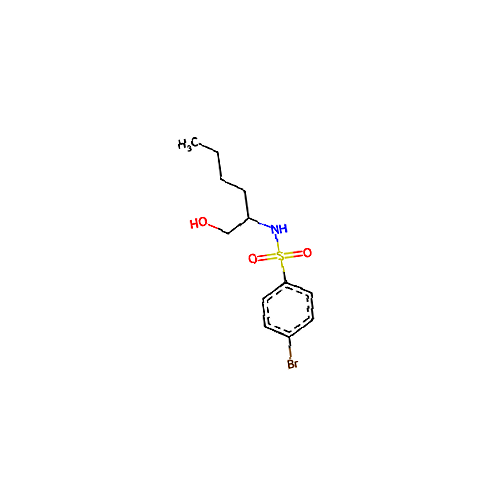 CCCCC(CO)NS(=O)(=O)c1ccc(Br)cc1